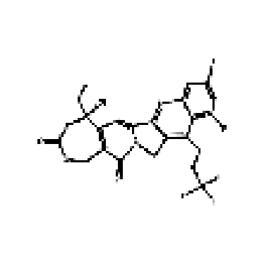 CC[C@@]1(O)CC(=O)OCc2c1cc1n(c2=O)Cc2c-1nc1cc(F)cc(F)c1c2CCC(F)(F)F